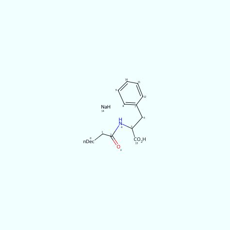 CCCCCCCCCCCC(=O)NC(Cc1ccccc1)C(=O)O.[NaH]